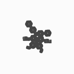 C=Cc1ccc(S2(c3ccc(C=C)cc3)c3cc(C(C)(C)C)ccc3-c3c(N(c4ccc(-c5ccccc5)cc4)c4ccc(-c5ccccc5)cc4)cc(C(C)(C)C)cc32)cc1